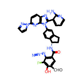 [N-]=[N+]=Nc1c(C(=O)N[C@H]2CCc3cc(-n4c(-c5cccnc5N)nc5ccc(-n6cccn6)nc54)ccc32)cc(C=O)c(O)c1F